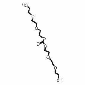 O=C(OCCOCCOCCO)OCCOCCOCCO